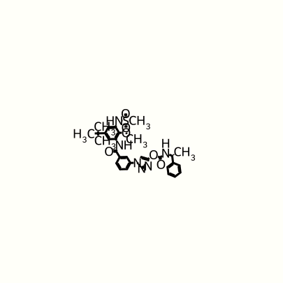 COc1c(NC(=O)c2cccc(-n3cc(OC(=O)N[C@H](C)c4ccccc4)nn3)c2)cc(C(C)(C)C)cc1NS(C)(=O)=O